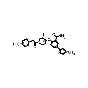 Cc1ccc(CC(=O)N2CC[C@@H](Oc3ncc(-c4cn(C)cn4)cc3C(N)=O)[C@@H](F)C2)cc1